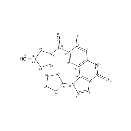 Cc1cc2[nH]c(=O)c3cnn(C4CCCC4)c3c2cc1C(=O)N1CC[C@H](O)C1